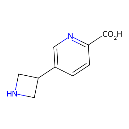 O=C(O)c1ccc(C2CNC2)cn1